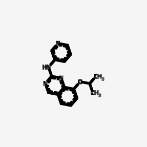 CC(C)Oc1cccc2cnc(Nc3cccnc3)nc12